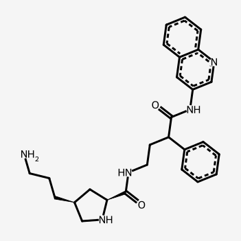 NCCC[C@@H]1CN[C@H](C(=O)NCCC(C(=O)Nc2cnc3ccccc3c2)c2ccccc2)C1